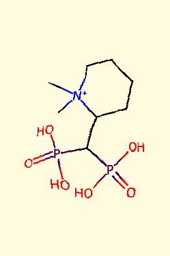 C[N+]1(C)CCCCC1C(P(=O)(O)O)P(=O)(O)O